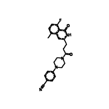 Cc1ccc(F)c2c(=O)[nH]c(CCC(=O)N3CCN(c4ccc(C#N)cc4)CC3)cc12